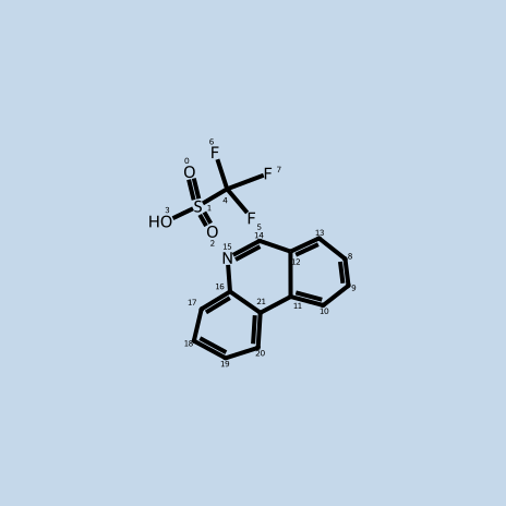 O=S(=O)(O)C(F)(F)F.c1ccc2c(c1)cnc1ccccc12